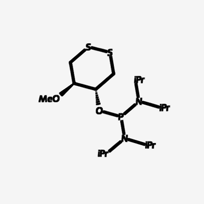 CO[C@H]1CSSC[C@@H]1OP(N(C(C)C)C(C)C)N(C(C)C)C(C)C